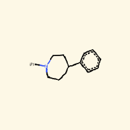 CC(C)N1CCCC(c2ccccc2)CC1